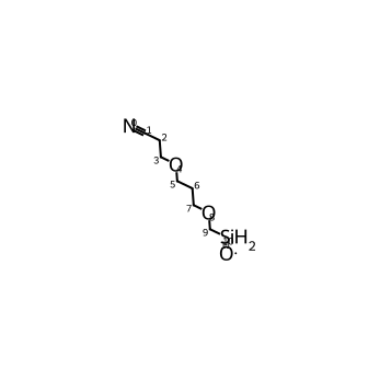 N#CCCOCCCOC[SiH2][O]